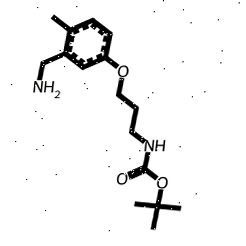 Cc1ccc(OCCCNC(=O)OC(C)(C)C)cc1CN